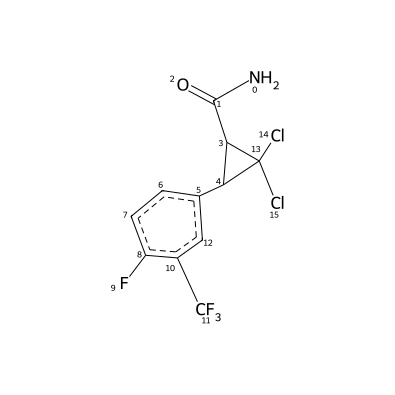 NC(=O)C1C(c2ccc(F)c(C(F)(F)F)c2)C1(Cl)Cl